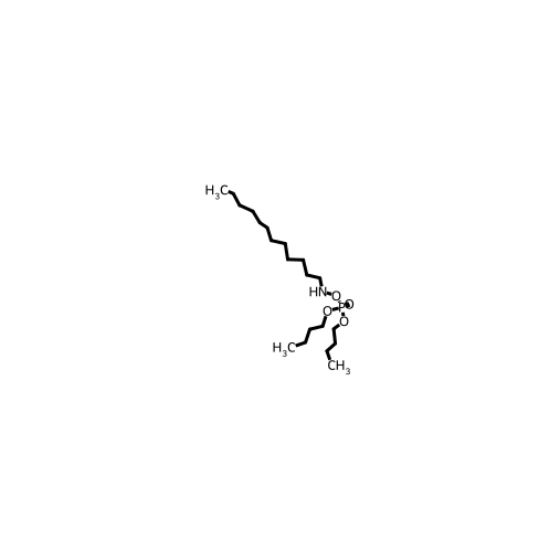 CCCCCCCCCCCCNOP(=O)(OCCCC)OCCCC